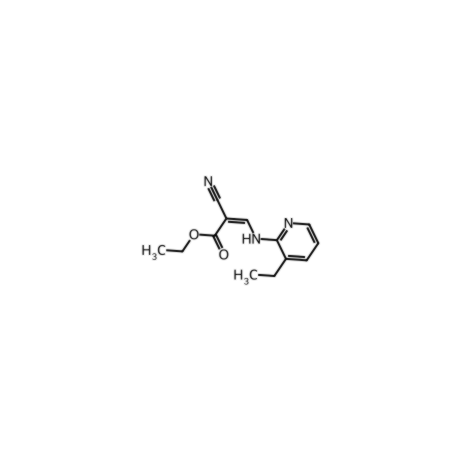 CCOC(=O)C(C#N)=CNc1ncccc1CC